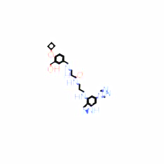 O=C(CCNCc1ccc(OC2CCC2)c(CO)c1)NCCCNc1cc(-n2cnnc2)cc2[nH]ncc12